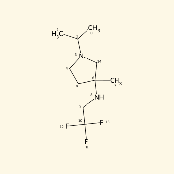 CC(C)N1CCC(C)(NCC(F)(F)F)C1